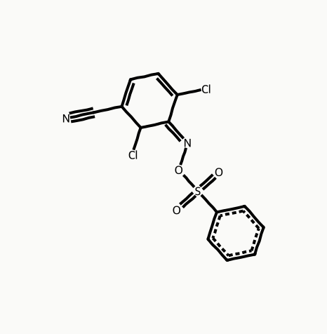 N#CC1=CC=C(Cl)C(=NOS(=O)(=O)c2ccccc2)C1Cl